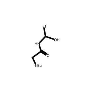 CCCCCC(=O)NC(O)CC